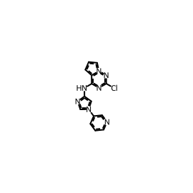 Clc1nc(Nc2cn(-c3cccnc3)cn2)c2cccn2n1